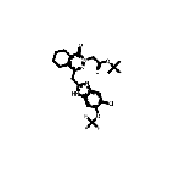 CC(C)(C)OC(=O)Cn1nc(Cc2nc3cc(Cl)c(OC(F)(F)F)cc3[nH]2)c2c(c1=O)CCCC2